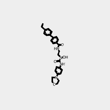 CCc1ccc(-c2ccc(C(=O)NCCN(O)C(=O)Nc3ccc(N4CCOCC4)cc3)cc2)cc1